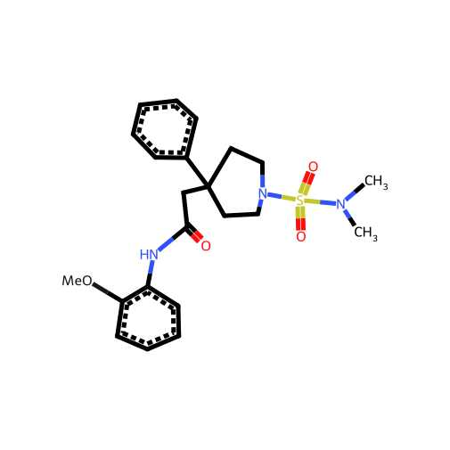 COc1ccccc1NC(=O)CC1(c2ccccc2)CCN(S(=O)(=O)N(C)C)CC1